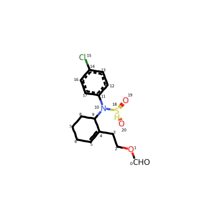 O=COCCC1=CCCCC1N(c1ccc(Cl)cc1)[SH](=O)=O